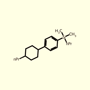 CCCC1CCC(c2ccc([Si](C)(C)CCC)cc2)CC1